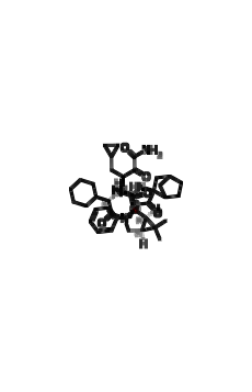 CC1(C)[C@@H]2[C@@H](C(=O)NC(CC3CC3)C(=O)C(N)=O)N(C(=O)[C@@H](NC(=O)NC3(C(=O)OCc4ccccc4)CC4CCC3C4)C3CCCCC3)C[C@@H]21